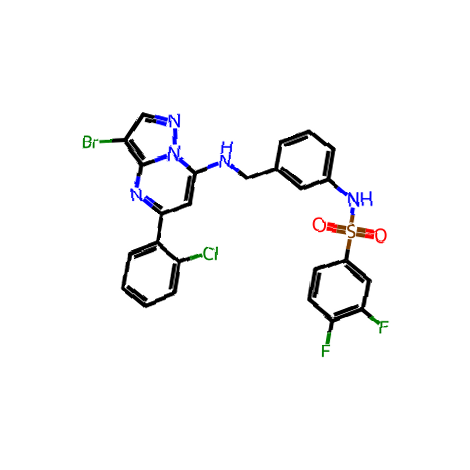 O=S(=O)(Nc1cccc(CNc2cc(-c3ccccc3Cl)nc3c(Br)cnn23)c1)c1ccc(F)c(F)c1